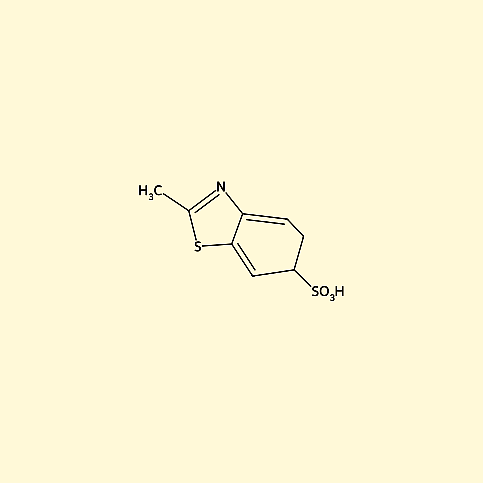 Cc1nc2c(s1)=CC(S(=O)(=O)O)CC=2